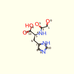 O=CC(=O)N[C@@H](Cc1cnc[nH]1)C(=O)O